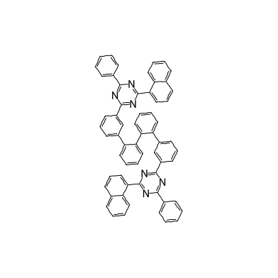 c1ccc(-c2nc(-c3cccc(-c4ccccc4-c4ccccc4-c4cccc(-c5nc(-c6ccccc6)nc(-c6cccc7ccccc67)n5)c4)c3)nc(-c3cccc4ccccc34)n2)cc1